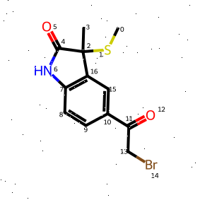 CSC1(C)C(=O)Nc2ccc(C(=O)CBr)cc21